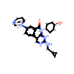 O=c1c2cc(N3CCN4CCC3CC4)ccc2c2cnc(NCC3CC3)nc2n1[C@H]1CC[C@H](O)CC1